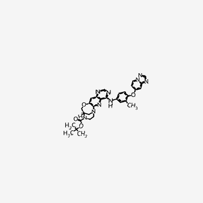 Cc1cc(Nc2ncnc3cc4c(nc23)N2CCN(C(=O)OC(C)(C)C)[C@H](CO4)C2)ccc1Oc1ccn2ncnc2c1